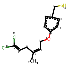 CC(=CCOc1ccc(CS)cc1)CC=C(Cl)Cl